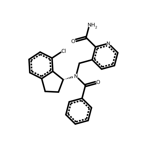 NC(=O)c1ncccc1CN(C(=O)c1ccccc1)[C@@H]1CCc2cccc(Cl)c21